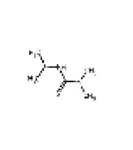 CC(C)NC(=S)N(C)C